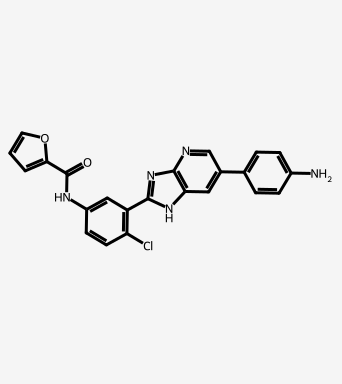 Nc1ccc(-c2cnc3nc(-c4cc(NC(=O)c5ccco5)ccc4Cl)[nH]c3c2)cc1